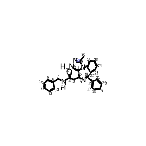 C=C1C(CC(=O)NCc2ccccc2)N=C(c2ccccc2)c2ccccc2N1/C(C)=N\N